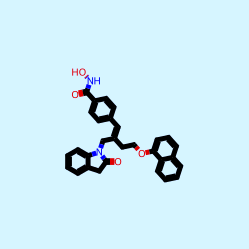 O=C(NO)c1ccc(C=C(CCOc2cccc3ccccc23)CN2C(=O)Cc3ccccc32)cc1